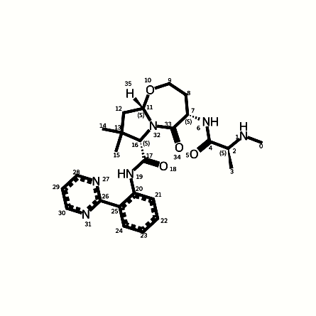 CN[C@@H](C)C(=O)N[C@H]1CCO[C@H]2CC(C)(C)[C@@H](C(=O)Nc3ccccc3-c3ncccn3)N2C1=O